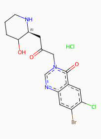 Cl.O=C(C[C@@H]1NCCCC1O)Cn1cnc2cc(Br)c(Cl)cc2c1=O